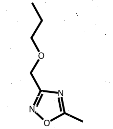 CCCOCc1noc(C)n1